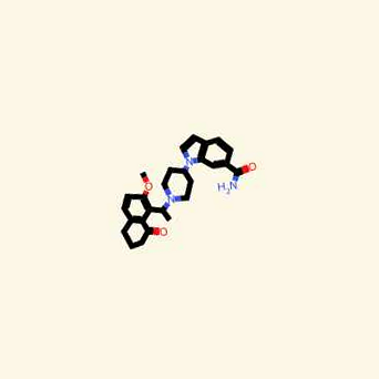 COc1ccc2c(c1C(C)N1CCC(n3ccc4ccc(C(N)=O)cc43)CC1)C(=O)CCC2